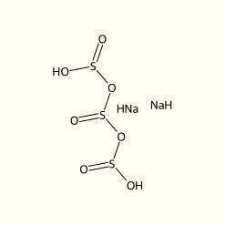 O=S(O)OS(=O)OS(=O)O.[NaH].[NaH]